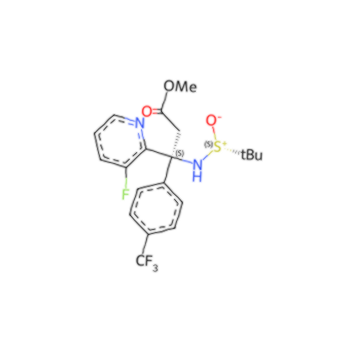 COC(=O)C[C@](N[S@+]([O-])C(C)(C)C)(c1ccc(C(F)(F)F)cc1)c1ncccc1F